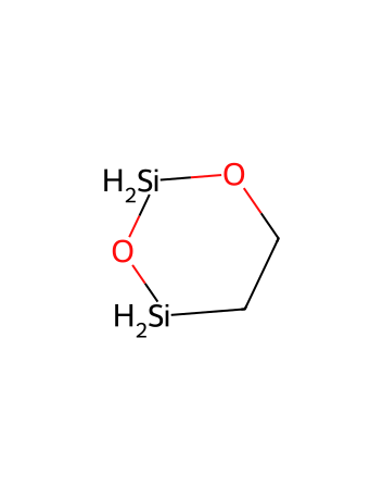 C1C[SiH2]O[SiH2]O1